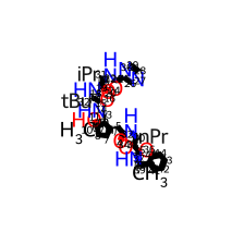 CCCC(NC(=O)C[C@H]1CC[C@@](C)(O)[C@H]1CNC(=O)[C@@H](NC(=O)[C@H](NC(=O)c1cnccn1)C(C)C)C(C)(C)C)C(=O)C(=O)N[C@@H](C)c1ccccc1